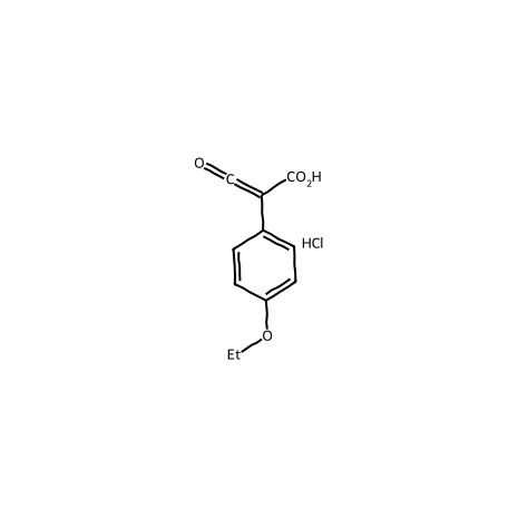 CCOc1ccc(C(=C=O)C(=O)O)cc1.Cl